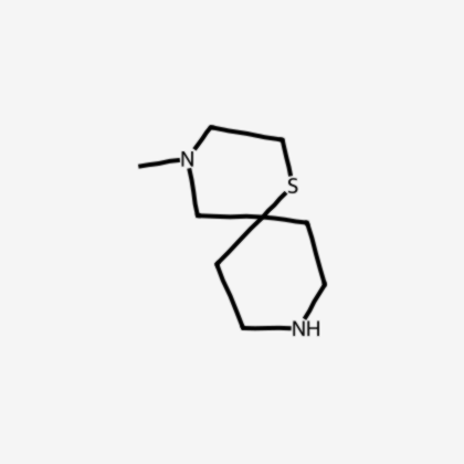 CN1CCSC2(CCNCC2)C1